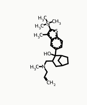 C=CCN(C)CC1CC2CCC(C2)C1(O)c1ccc2sc([Si](C)(C)C)c(C)c2c1